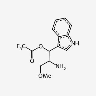 COCC(N)C(OC(=O)C(F)(F)F)c1c[nH]c2ccccc12